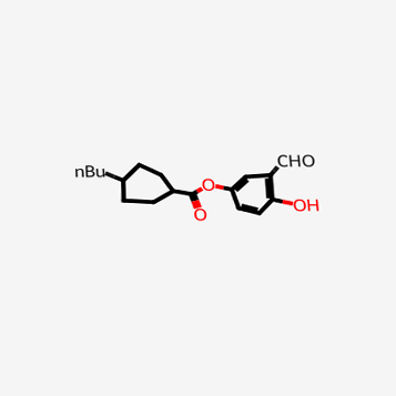 CCCCC1CCC(C(=O)Oc2ccc(O)c(C=O)c2)CC1